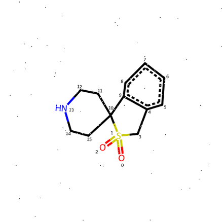 O=S1(=O)Cc2ccccc2C12CCNCC2